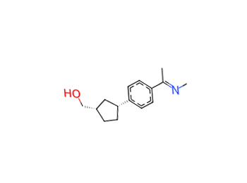 C/N=C(\C)c1ccc([C@@H]2CC[C@H](CO)C2)cc1